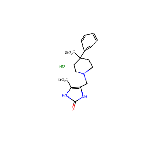 CCOC(=O)c1[nH]c(=O)[nH]c1CN1CCC(C(=O)OCC)(c2ccccc2)CC1.Cl